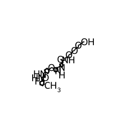 Cc1ccc(F)c(NC(=O)Nc2ccc(Oc3ccnc(-c4cc(C(=O)NCCOCCOCCOCCO)c[nH]4)c3)cc2)c1